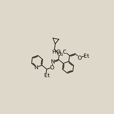 CCO/C=C(/C(=O)O)c1ccccc1/C(=N\OC(CC)c1ccccn1)OCC1CC1